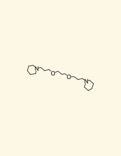 C1CCN(CCCOCCCOCCCN2CCCCC2)CC1